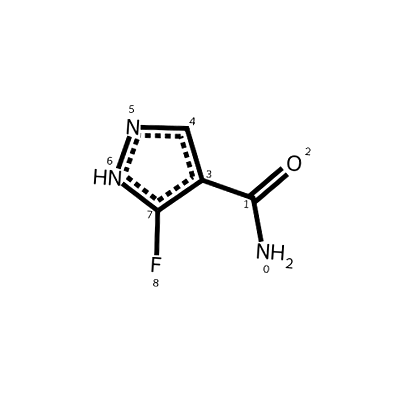 NC(=O)c1cn[nH]c1F